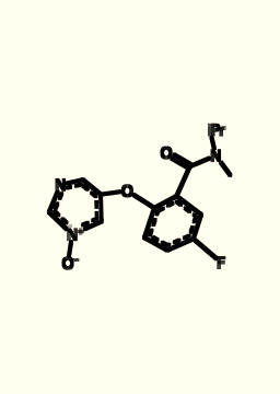 CC(C)N(C)C(=O)c1cc(F)ccc1Oc1cnc[n+]([O-])c1